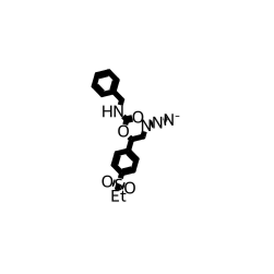 CCS(=O)(=O)c1ccc(C(CN=[N+]=[N-])OC(=O)NCc2ccccc2)cc1